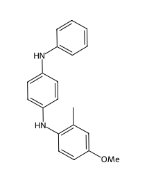 COc1ccc(Nc2ccc(Nc3ccccc3)cc2)c(C)c1